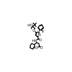 CC(C)(C)C(C)(O)COc1cc(C(=O)NC(CC(=O)O)C2CCCCC2)nn1-c1ccccc1F